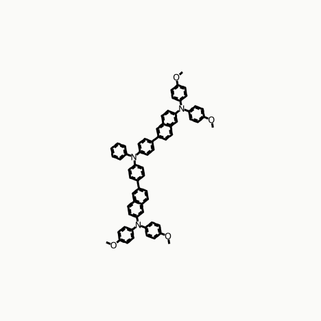 COc1ccc(N(c2ccc(OC)cc2)c2ccc3cc(-c4ccc(N(c5ccccc5)c5ccc(-c6ccc7cc(N(c8ccc(OC)cc8)c8ccc(OC)cc8)ccc7c6)cc5)cc4)ccc3c2)cc1